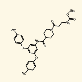 CC(C)(C)OC(=O)NCCC(=O)N1CCC(C(=O)Nc2cc(Oc3ccc(C#N)cc3)cc(Oc3ccc(C#N)cc3)c2)CC1